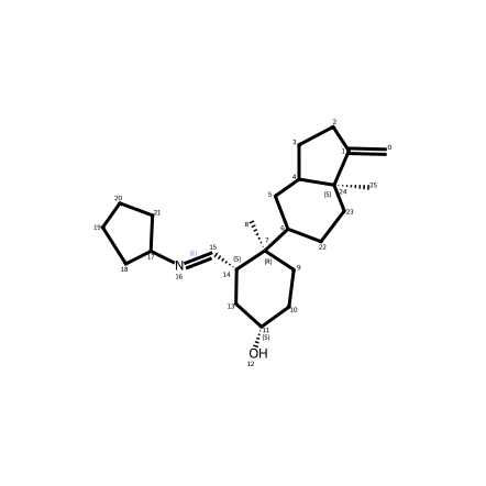 C=C1CCC2CC([C@@]3(C)CC[C@H](O)C[C@@H]3/C=N/C3CCCC3)CC[C@]12C